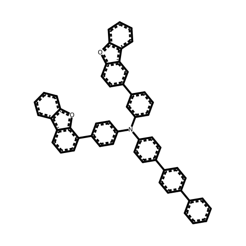 c1ccc(-c2ccc(-c3ccc(N(c4ccc(-c5cccc6c5oc5ccccc56)cc4)c4cccc(-c5ccc6oc7ccccc7c6c5)c4)cc3)cc2)cc1